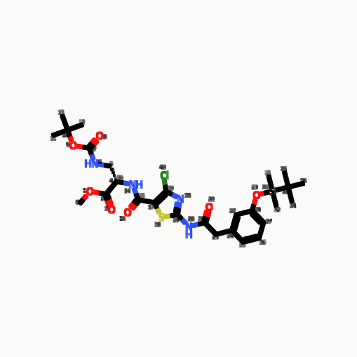 COC(=O)[C@H](CNC(=O)OC(C)(C)C)NC(=O)c1sc(NC(=O)Cc2cccc(O[Si](C)(C)C(C)(C)C)c2)nc1Cl